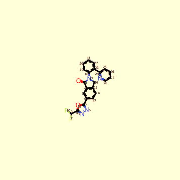 O=C1c2cc(-c3nnc(C(F)F)o3)ccc2CN1c1ccccc1-c1ccccn1